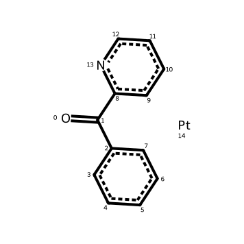 O=C(c1ccccc1)c1ccccn1.[Pt]